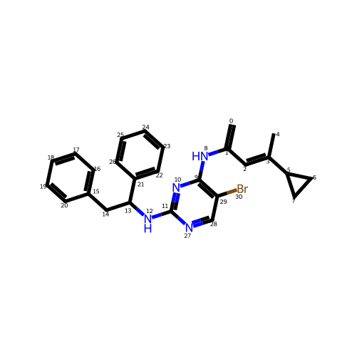 C=C(/C=C(\C)C1CC1)Nc1nc(NC(Cc2ccccc2)c2ccccc2)ncc1Br